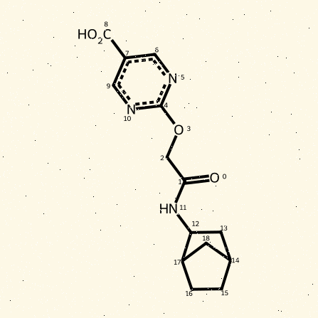 O=C(COc1ncc(C(=O)O)cn1)NC1CC2CCC1C2